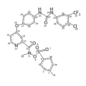 Cc1ccc(S(=O)(=O)ON(C)C(=O)c2cc(Oc3ccc(NC(=O)Nc4ccc(Cl)c(C(F)(F)F)c4)cc3)ccn2)cc1